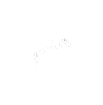 O[C@@H](COc1ccc(-c2noc3cc(F)ccc23)cc1)CN1CCN(c2n[nH]c3ccccc23)CC1